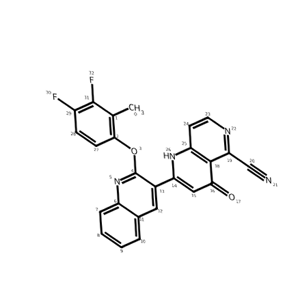 Cc1c(Oc2nc3ccccc3cc2-c2cc(=O)c3c(C#N)nccc3[nH]2)ccc(F)c1F